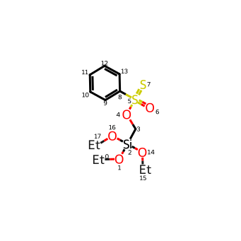 CCO[Si](COS(=O)(=S)c1ccccc1)(OCC)OCC